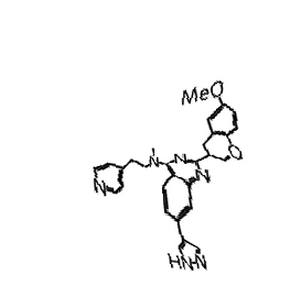 COc1ccc2c(c1)CC(c1nc(N(C)CCc3ccncc3)c3ccc(-c4cn[nH]c4)cc3n1)CO2